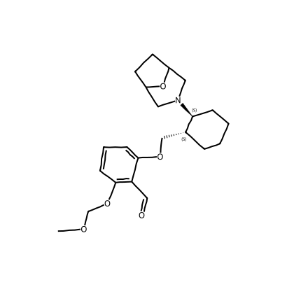 COCOc1cccc(OC[C@H]2CCCC[C@@H]2N2CC3CCC(C2)O3)c1C=O